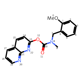 COc1ccccc1CN(C)C(=O)Oc1ccc2cccnc2n1